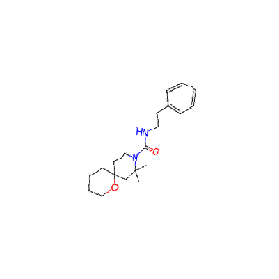 CC1(C)CC2(CCCCO2)CCN1C(=O)NCCc1ccccc1